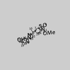 COCn1c(=O)sc2cc(C(C)c3ccn(C4=CCC(C)(CO)C=N4)n3)ccc21